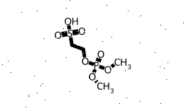 COP(=O)(OC)OCCS(=O)(=O)O